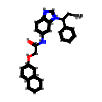 O=C(O)CC(c1ccccc1)n1cnc2ccc(NC(=O)COc3ccc4ccccc4c3)cc21